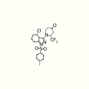 Cc1ccc(S(=O)(=O)n2nc(N3CCC(=O)CC3C(F)(F)F)c3c(Cl)cccc32)cc1